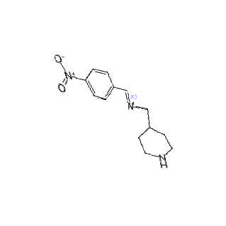 O=[N+]([O-])c1ccc(/C=N/CC2CCNCC2)cc1